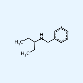 CCC(CC)NCc1c[c]ccc1